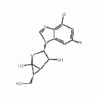 OC[C@@H]1C2C(O)[C@H](n3cnc4c(Cl)cc(Cl)nc43)OC21O